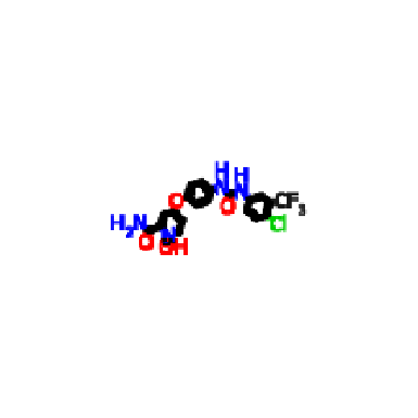 NC(=O)C1=CC(Oc2ccc(NC(=O)Nc3ccc(Cl)c(C(F)(F)F)c3)cc2)=CCN1O